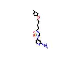 Cc1ccc(OCCCCCN2CCN(c3ccnc(N)c3)S2(=O)=O)cc1